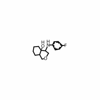 O[C@]12CCCCC1COCC2Nc1ccc(F)cc1